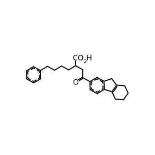 O=C(C[C@@H](CCCCc1ccccc1)C(=O)O)c1ccc2c(c1)CC1=C2CCCC1